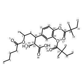 CCCCC(=O)OC(C)CC(c1ccc(OC(=O)C(C)(C)CC)c(OC(=O)C(C)(C)CC)c1)[C@H](N)C(=O)O